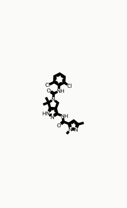 Cc1cc(C(=O)Nc2n[nH]c3c2CN(C(=O)Nc2c(Cl)cccc2Cl)C3(C)C)n(C)n1